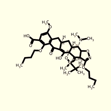 CCCCOC1=NOC2C1C(=O)[C@@]1(O[Si](C)(C)C(C)(C)C)C(O)=C3C(=O)c4c(c(OC)cc(C(=O)O)c4OCCCC)C[C@H]3C[C@H]1[C@@H]2N(C)C